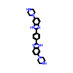 c1cc(-c2nc3ccc(N4CCNCC4)cc3[nH]2)ccc1-c1nc2ccc(N3CCNCC3)cc2[nH]1